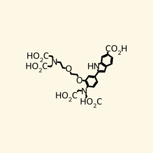 O=C(O)CN(CCOCCOc1cc(-c2cc3ccc(C(=O)O)cc3[nH]2)ccc1N(CC(=O)O)CC(=O)O)CC(=O)O